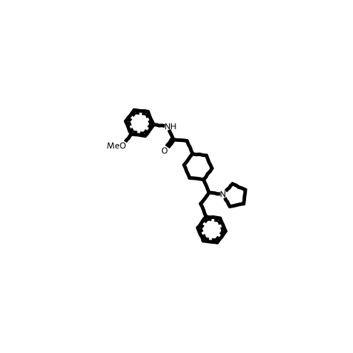 COc1cccc(NC(=O)CC2CCC(C(Cc3ccccc3)N3CCCC3)CC2)c1